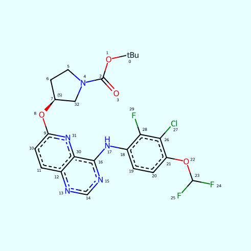 CC(C)(C)OC(=O)N1CC[C@H](Oc2ccc3ncnc(Nc4ccc(OC(F)F)c(Cl)c4F)c3n2)C1